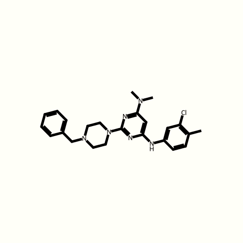 Cc1ccc(Nc2cc(N(C)C)nc(N3CCN(Cc4ccccc4)CC3)n2)cc1Cl